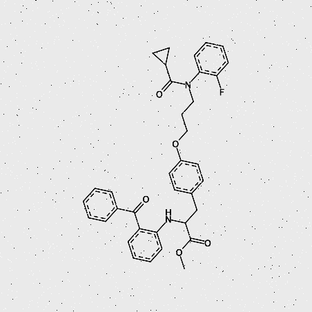 COC(=O)C(Cc1ccc(OCCCN(C(=O)C2CC2)c2ccccc2F)cc1)Nc1ccccc1C(=O)c1ccccc1